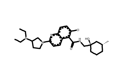 CCN(CC)C1CCN(c2ccc3c(C(=O)NC[C@@]4(O)CCC[C@@H](C)C4)c(Cl)ccc3n2)C1